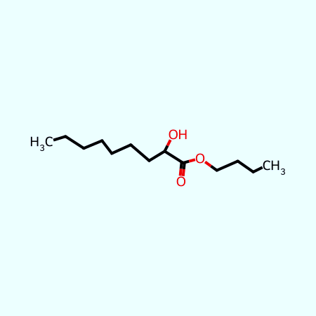 CCCCCCCC(O)C(=O)OCCCC